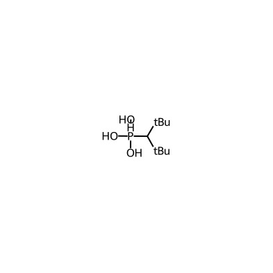 CC(C)(C)C(C(C)(C)C)[PH](O)(O)O